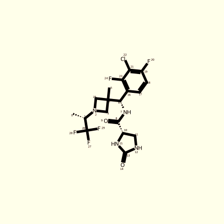 C[C@H](N1CC(C)([C@@H](NC(=O)[C@@H]2CNC(=O)N2)c2ccc(F)c(Cl)c2F)C1)C(F)(F)F